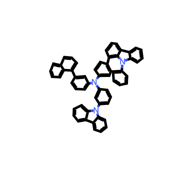 c1ccc(-n2c3ccccc3c3cccc(-c4ccc(N(c5cccc(-c6cccc7ccccc67)c5)c5cccc(-n6c7ccccc7c7ccccc76)c5)cc4)c32)cc1